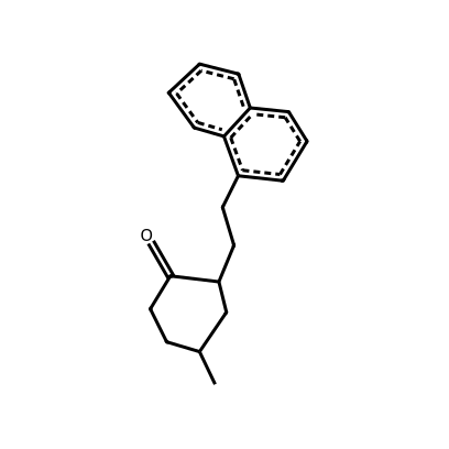 CC1CCC(=O)C(CCc2cccc3ccccc23)C1